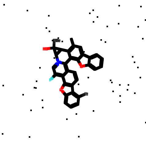 CCc1cccc2oc3c(ccc4c5[n+](cc(F)c43)C3C(c4c(C)cc6c(oc7ccccc76)c4-5)C3(O)OC)c12